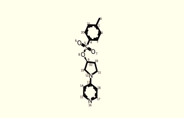 Cc1ccc(S(=O)(=O)O[C@H]2CCN(c3ccncc3)C2)cc1